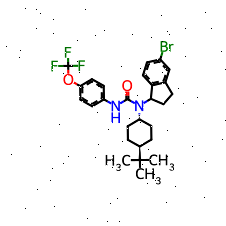 CC(C)(C)[C@H]1CC[C@H](N(C(=O)Nc2ccc(OC(F)(F)F)cc2)C2CCc3cc(Br)ccc32)CC1